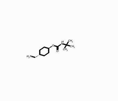 CC(C)(C)NC(=O)O[C@H]1CC[C@H](CN)CC1